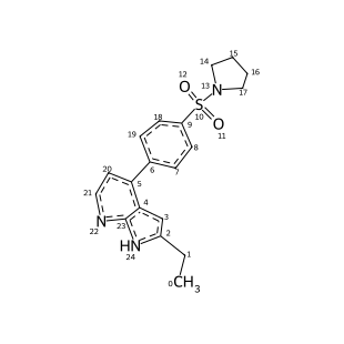 CCc1cc2c(-c3ccc(S(=O)(=O)N4CCCC4)cc3)ccnc2[nH]1